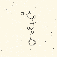 CC(C)(CC(=O)OCc1ccccc1)C(Cl)C=C(Cl)Cl